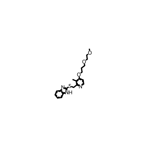 COCCOCCCOc1ccnc(CSc2nc3ccccc3[nH]2)c1C